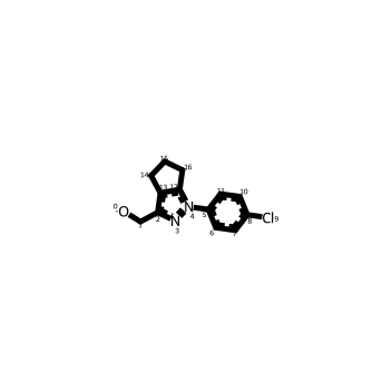 [O]Cc1nn(-c2ccc(Cl)cc2)c2c1CCC2